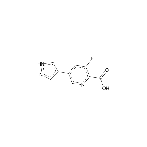 O=C(O)c1ncc(-c2cn[nH]c2)cc1F